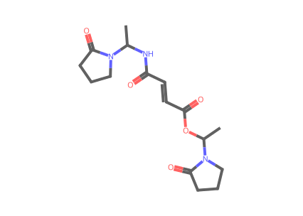 CC(NC(=O)C=CC(=O)OC(C)N1CCCC1=O)N1CCCC1=O